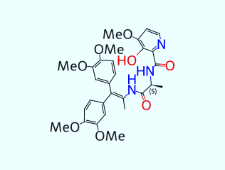 COc1ccc(C(=C(C)NC(=O)[C@H](C)NC(=O)c2nccc(OC)c2O)c2ccc(OC)c(OC)c2)cc1OC